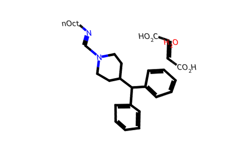 CCCCCCCCN=CN1CCC(C(c2ccccc2)c2ccccc2)CC1.O.O=C(O)C=CC(=O)O